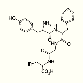 CC(C)CC(NC(=O)CNC(=O)C(Cc1ccccc1)NC(=O)C(N)Cc1ccc(O)cc1)C(=O)O